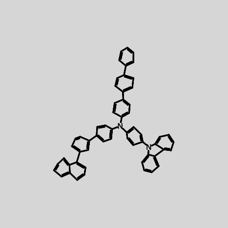 c1ccc(-c2ccc(-c3ccc(N(c4ccc(-c5cccc(-c6cccc7ccccc67)c5)cc4)c4ccc(-n5c6ccccc6c6ccccc65)cc4)cc3)cc2)cc1